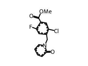 COC(=O)c1cc(Cl)c(Cn2ccccc2=O)cc1F